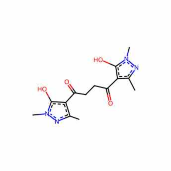 Cc1nn(C)c(O)c1C(=O)CCC(=O)c1c(C)nn(C)c1O